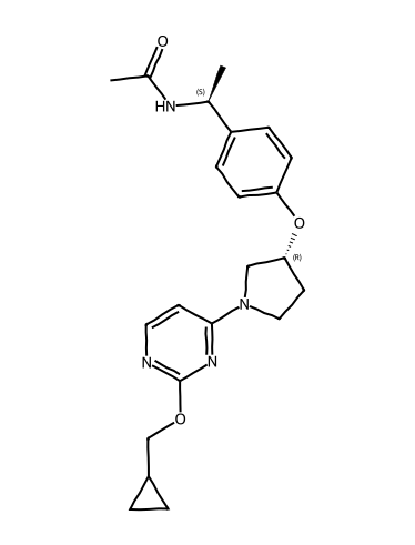 CC(=O)N[C@@H](C)c1ccc(O[C@@H]2CCN(c3ccnc(OCC4CC4)n3)C2)cc1